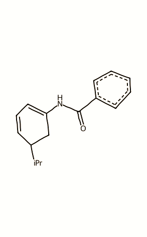 CC(C)C1C=CC=C(NC(=O)c2ccccc2)C1